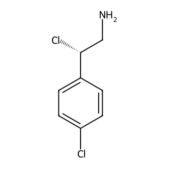 NC[C@@H](Cl)c1ccc(Cl)cc1